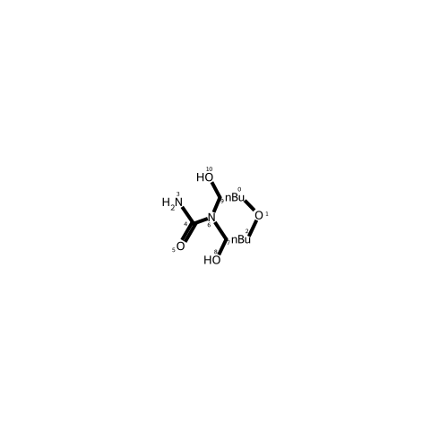 CCCCOCCCC.NC(=O)N(CO)CO